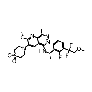 COCC(F)(F)c1cccc([C@@H](C)Nc2nnc(C)c3nc(OC)c(N4CCS(=O)(=O)CC4)cc23)c1F